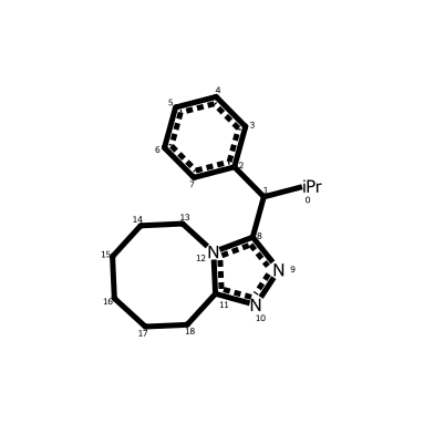 CC(C)C(c1ccccc1)c1nnc2n1CCCCCC2